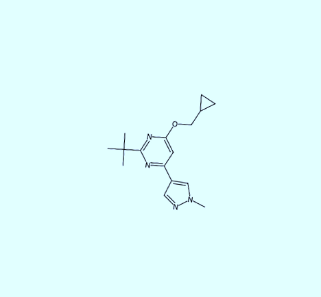 Cn1cc(-c2cc(OCC3CC3)nc(C(C)(C)C)n2)cn1